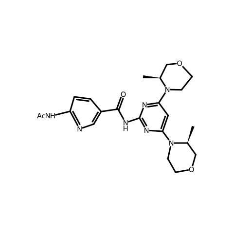 CC(=O)Nc1ccc(C(=O)Nc2nc(N3CCOC[C@@H]3C)cc(N3CCOC[C@@H]3C)n2)cn1